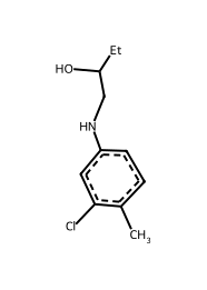 CCC(O)CNc1ccc(C)c(Cl)c1